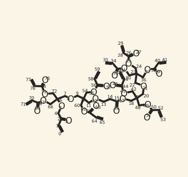 C=CC(=O)COC(COCC(COCCC(=O)OCC(COCC(COC(=O)C=C)(COC(=O)C=C)COC(=O)C=C)(COC(=O)C=C)COC(=O)C=C)(COC(=O)C=C)COC(=O)C=C)(COC(=O)C=C)COC(=O)C=C